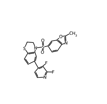 Cc1nc2ccc(S(=O)(=O)N3CCSc4ccc(-c5ccnc(F)c5F)cc43)cc2o1